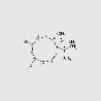 CC(C)C1(C(C)C)CCOC(=O)CC(=O)OCC1